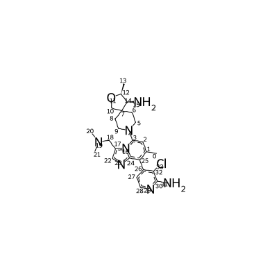 Cc1cc(N2CCC3(CC2)CO[C@@H](C)[C@H]3N)n2c(CN(C)C)cnc2c1-c1ccnc(N)c1Cl